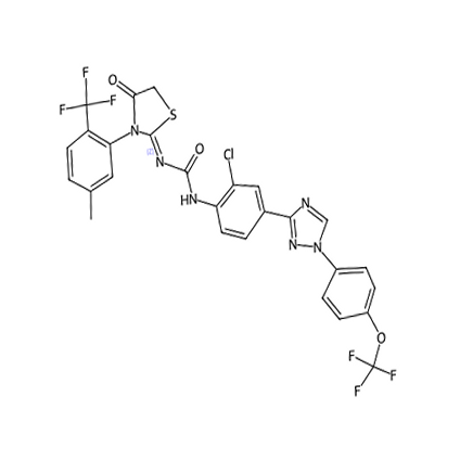 Cc1ccc(C(F)(F)F)c(N2C(=O)CS/C2=N\C(=O)Nc2ccc(-c3ncn(-c4ccc(OC(F)(F)F)cc4)n3)cc2Cl)c1